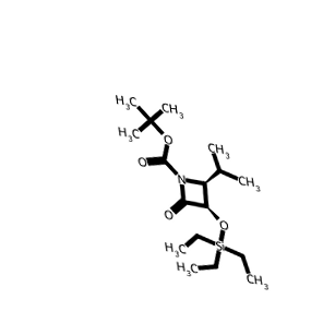 CC[Si](CC)(CC)O[C@H]1C(=O)N(C(=O)OC(C)(C)C)[C@H]1C(C)C